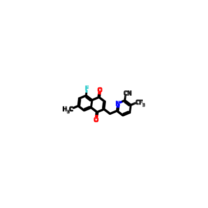 Cc1cc(F)c2c(c1)C(=O)C(Cc1ccc(C(F)(F)F)c(C#N)n1)=CC2=O